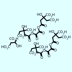 O=C(O)CC(O)(CC(=O)OC(=O)C(=O)OC(=O)CC(O)(CC(=O)O)C(=O)O)C(=O)O.O=C(O)CC(O)(CC(=O)OC(=O)C(=O)OC(=O)CC(O)(CC(=O)O)C(=O)O)C(=O)O.O=C(O)CC(O)C(=O)O